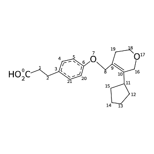 O=C(O)CCc1ccc(OCC2=C(C3CCCC3)COCC2)cc1